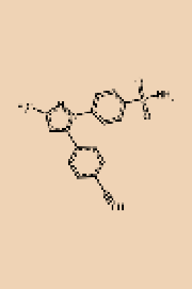 C#Cc1ccc(-c2cc(C(F)(F)F)nn2-c2ccc(S(N)(=O)=O)cc2)cc1